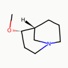 CO[C@H]1CCN2CCC[C@@H]1C2